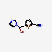 N#Cc1ccc(C(O)n2ccnc2)s1